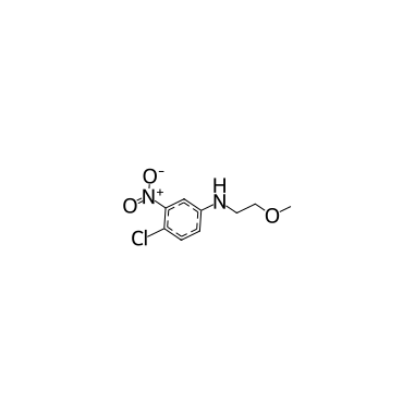 COCCNc1ccc(Cl)c([N+](=O)[O-])c1